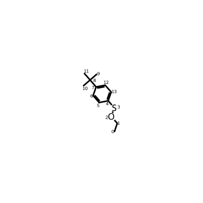 CCOSc1ccc(C(C)(C)C)cc1